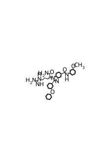 COc1cccc(NC(=O)c2ccc3c(c2)nc(-c2cccc(Oc4ccccc4)c2)n3[C@@H](CCCNC(=N)N)C(N)=O)c1